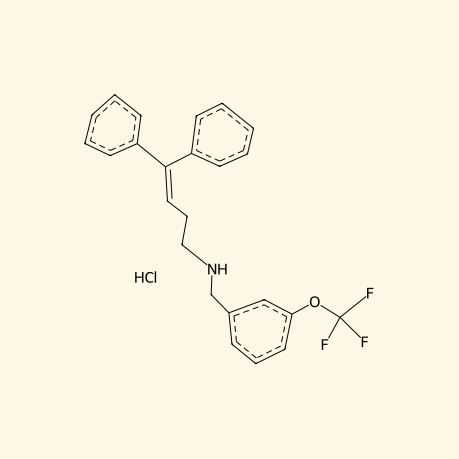 Cl.FC(F)(F)Oc1cccc(CNCCC=C(c2ccccc2)c2ccccc2)c1